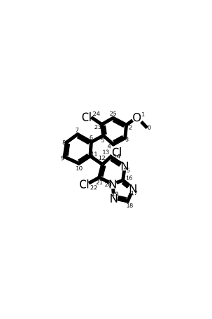 COc1ccc(-c2ccccc2-c2c(Cl)nc3ncnn3c2Cl)c(Cl)c1